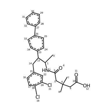 CC(NC(=O)CC(C)(C)CC(=O)O)C(Cc1ccc(Cl)c(Cl)c1)c1ccc(-c2ccccc2)cc1